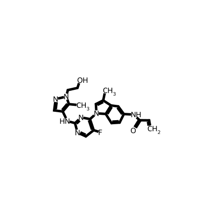 C=CC(=O)Nc1ccc2c(c1)c(C)cn2-c1nc(Nc2cnn(CCO)c2C)ncc1F